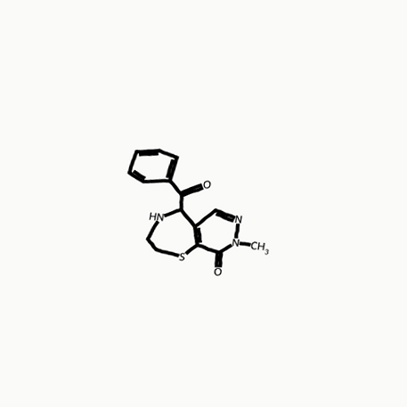 Cn1ncc2c(c1=O)SCCNC2C(=O)c1ccccc1